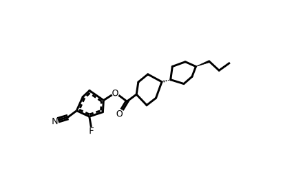 CCC[C@H]1CC[C@H](C2CCC(C(=O)Oc3ccc(C#N)c(F)c3)CC2)CC1